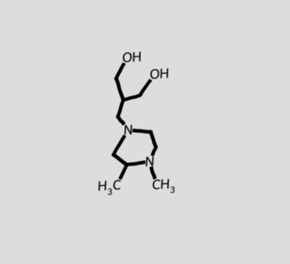 CC1CN(CC(CO)CO)CCN1C